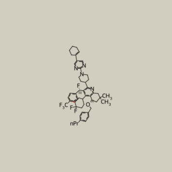 CCCc1ccc(CO[C@H]2CC(C)(C)Cc3nc(C4CCN(c5ncc(C6=CCCCC6)cn5)CC4)c([C@@H](F)c4ccc(C(F)(F)F)cc4)c(C4CCC(F)(F)CC4)c32)cc1